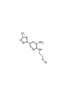 CCOCCNc1ncc(-c2noc(C(F)(F)F)n2)cc1N